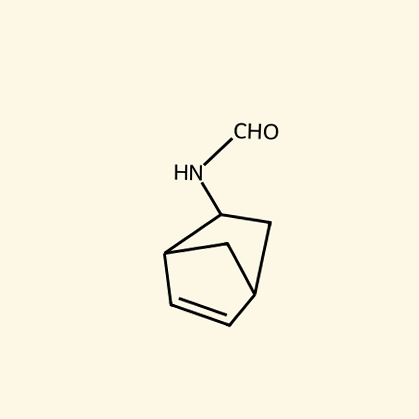 O=CNC1CC2C=CC1C2